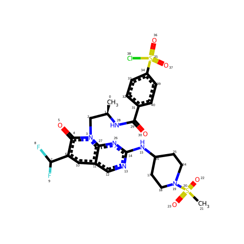 C[C@H](Cn1c(=O)c(C(F)F)cc2cnc(NC3CCN(S(C)(=O)=O)CC3)nc21)NC(=O)c1ccc(S(=O)(=O)Cl)cc1